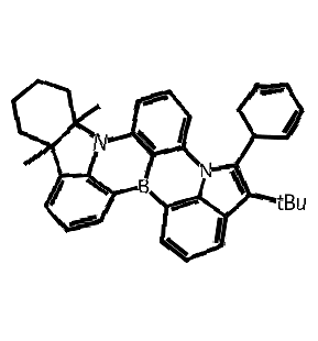 CC(C)(C)c1c(C2C=CC=CC2)n2c3c(cccc13)B1c3cccc4c3N(c3cccc-2c31)C1(C)CCCCC41C